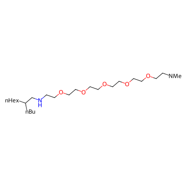 CCCCCCC(CCCC)CNCCOCCOCCOCCOCCOCCNC